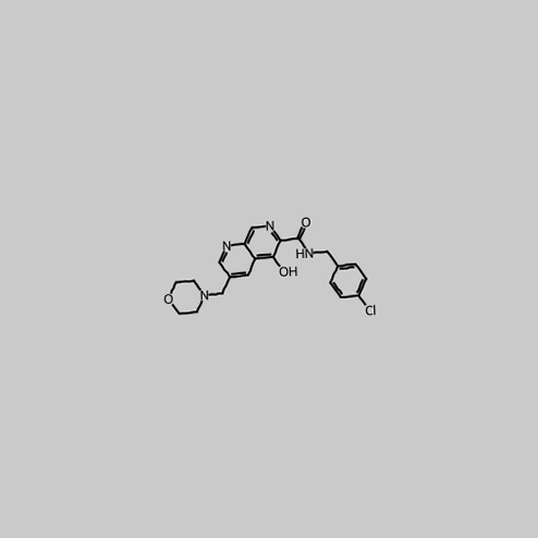 O=C(NCc1ccc(Cl)cc1)c1ncc2ncc(CN3CCOCC3)cc2c1O